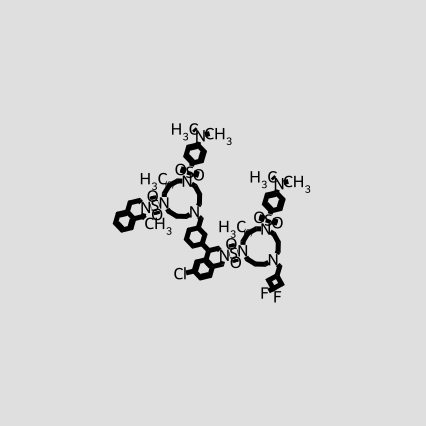 CC1c2ccccc2CCN1S(=O)(=O)N1CCCN(CC2CCCC(C3CN(S(=O)(=O)N4CCCN(CC5CC(F)(F)C5)CCCN(S(=O)(=O)c5ccc(N(C)C)cc5)C[C@H](C)C4)Cc4ccc(Cl)cc43)C2)CCCN(S(=O)(=O)c2ccc(N(C)C)cc2)C[C@H](C)C1